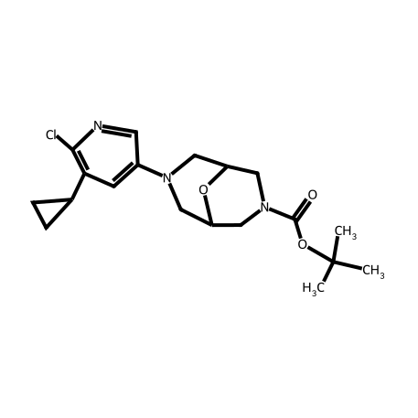 CC(C)(C)OC(=O)N1CC2CN(c3cnc(Cl)c(C4CC4)c3)CC(C1)O2